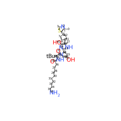 Cc1ncsc1-c1ccc([C@]2(C)NC([C@@H]3C[C@@H](O)CN3C(=O)[C@@H](NC(=O)CCCCCCCCCCN)C(C)(C)C)=NC2O)cc1